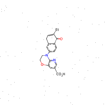 CCC1=CCc2cc(N3CCOc4cc(C(=O)O)cnc43)ccc2C1=O